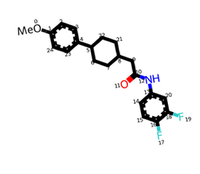 COc1ccc(C2CCC(CC(=O)Nc3ccc(F)c(F)c3)CC2)cc1